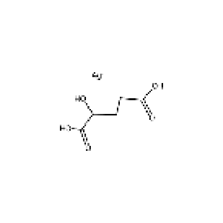 O=C(O)CCC(O)C(=O)O.[Ag]